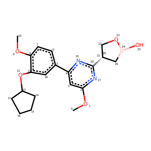 COc1cc(-c2ccc(OC)c(OC3CCCC3)c2)nc([C@@H]2COB(O)C2)n1